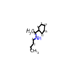 CCC[CH]NC(C)C1CCCCC1